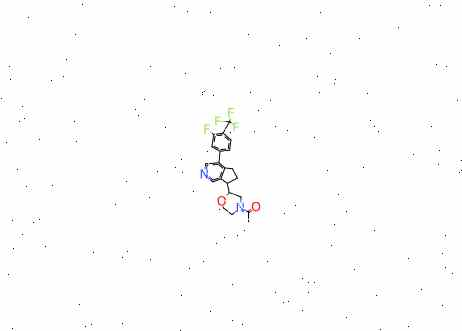 CC(=O)N1CCOC(C2CCc3c(-c4ccc(C(F)(F)F)c(F)c4)cncc32)C1